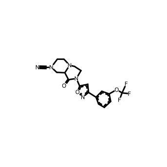 N#CN1CCN2CCN(c3cc(-c4cccc(OC(F)(F)F)c4)no3)C(=O)C2C1